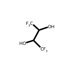 OC(C(O)C(F)(F)F)C(F)(F)F